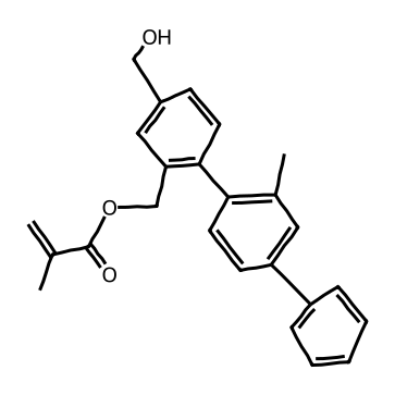 C=C(C)C(=O)OCc1cc(CO)ccc1-c1ccc(-c2ccccc2)cc1C